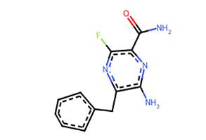 NC(=O)c1nc(N)c(Cc2ccccc2)nc1F